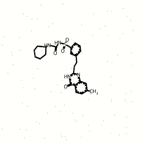 Cc1ccc2c(=O)[nH]c(CCc3cccc(S(=O)(=O)NC(=O)NC4CCCCC4)c3)nc2c1